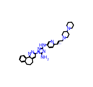 Nc1nc(Nc2ccc(/C=C/CN3CCC(N4CCCCC4)CC3)nc2)nn1-c1cc2c(nn1)-c1ccccc1CCC2